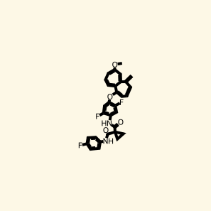 C=C1C=CC=C(Oc2cc(F)c(NC(=O)C3(C(=O)Nc4ccc(F)cc4)CC3)cc2F)C2=C=CC=C(OC)C=C12